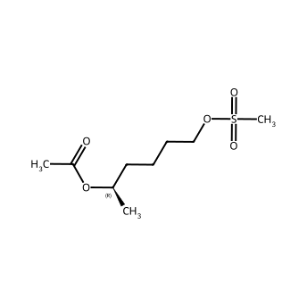 CC(=O)O[C@H](C)CCCCOS(C)(=O)=O